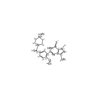 CCCc1nn(C)c2c(=S)[nH]c(-c3cc(C(=S)N4CCN(CCC)CC4)ccc3OCC)nc12